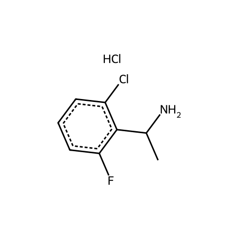 CC(N)c1c(F)cccc1Cl.Cl